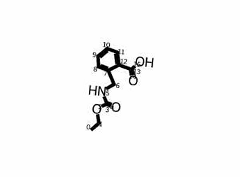 CCOC(=O)NCc1ccccc1C(=O)O